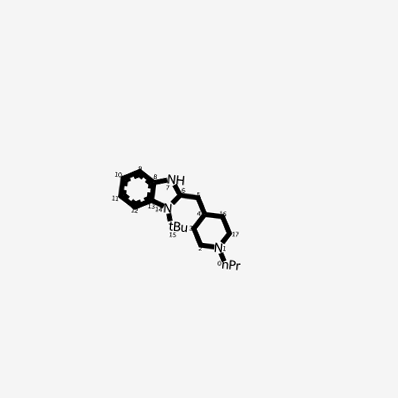 CCCN1CCC(CC2Nc3ccccc3N2C(C)(C)C)CC1